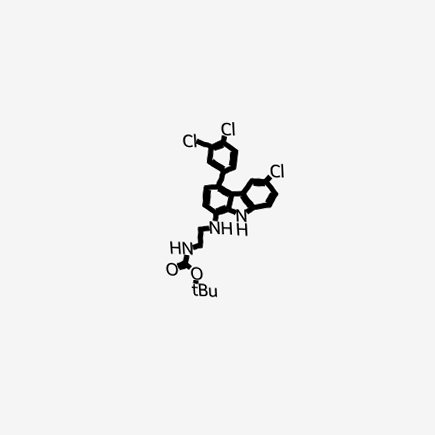 CC(C)(C)OC(=O)NCCNc1ccc(-c2ccc(Cl)c(Cl)c2)c2c1[nH]c1ccc(Cl)cc12